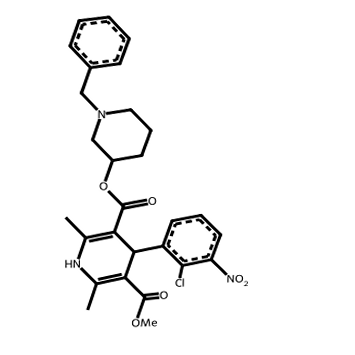 COC(=O)C1=C(C)NC(C)=C(C(=O)OC2CCCN(Cc3ccccc3)C2)C1c1cccc([N+](=O)[O-])c1Cl